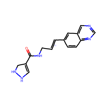 O=C(NC/C=C/c1ccc2ncncc2c1)C1=CNNC1